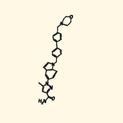 Cc1cc(C(N)=O)nn1-c1ccc2c(ccn2Cc2ccc(-c3ccc(CN4CCOCC4)cc3)cc2)c1